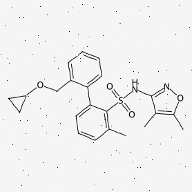 Cc1cccc(-c2ccccc2COC2CC2)c1S(=O)(=O)Nc1noc(C)c1C